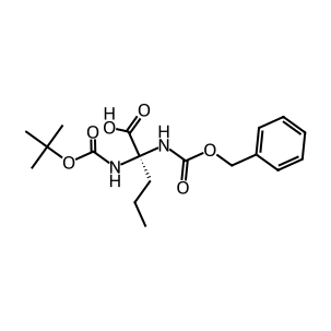 CCC[C@](NC(=O)OCc1ccccc1)(NC(=O)OC(C)(C)C)C(=O)O